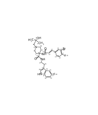 CC(C)(O)CN1CCC(NC(=O)C=Cc2ccc(F)c(Br)c2)(C(=O)NCCc2c[nH]c3ccc(F)cc23)CC1